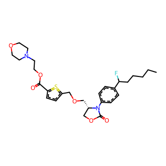 CCCCCC(F)c1ccc(N2C(=O)OC[C@@H]2COCc2ccc(C(=O)OCCN3CCOCC3)s2)cc1